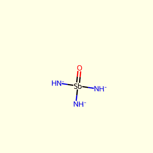 [NH-][Sb]([NH-])([NH-])=[O]